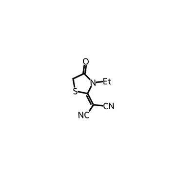 CCN1C(=O)CSC1=C(C#N)C#N